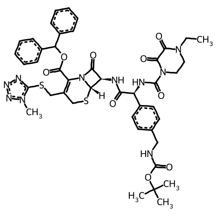 CCN1CCN(C(=O)N[C@H](C(=O)N[C@@H]2C(=O)N3C(C(=O)OC(c4ccccc4)c4ccccc4)=C(CSc4nnnn4C)CS[C@@H]23)c2ccc(CNC(=O)OC(C)(C)C)cc2)C(=O)C1=O